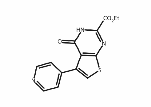 CCOC(=O)c1nc2scc(-c3ccncc3)c2c(=O)[nH]1